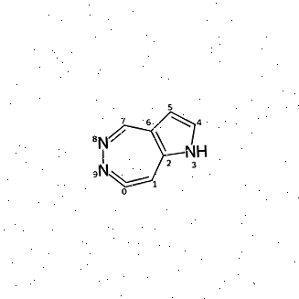 C1=Cc2[nH]ccc2C=NN=1